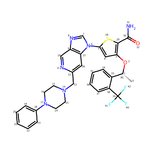 C[C@@H](Oc1cc(-n2cnc3cnc(CN4CCN(c5ccccc5)CC4)cc32)sc1C(N)=O)c1ccccc1C(F)(F)F